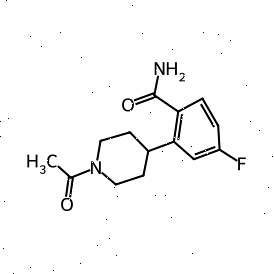 CC(=O)N1CCC(c2cc(F)ccc2C(N)=O)CC1